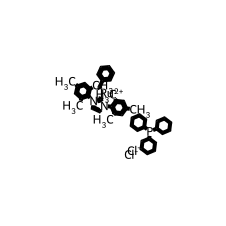 C1CCC(P(C2CCCCC2)C2CCCCC2)CC1.Cc1cc(C)c(-n2ccn(-c3c(C)cc(C)cc3C)[c]2=[Ru+2]=[CH]c2ccccc2)c(C)c1.[Cl-].[Cl-]